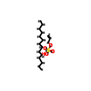 C=CCOS(=O)(=O)O.CCCCCCCCCCCCCC